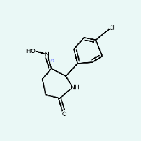 O=C1CC/C(=N\O)C(c2ccc(Cl)cc2)N1